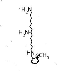 COc1ccccc1CNCCCCCCC(N)CCCCCCCN